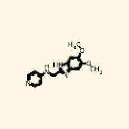 COc1cc2nc(CNc3ccncc3)[nH]c2cc1OC